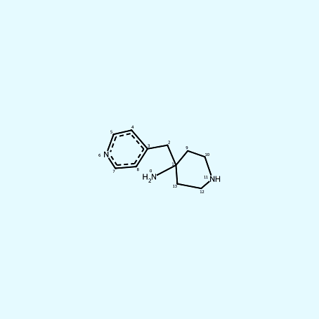 NC1(Cc2ccncc2)CCNCC1